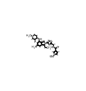 CN1CC[C@@H](Nc2cc(N)cc3c(CC(F)(F)F)n(-c4noc(CNC(=O)c5ccn(C(C)(C)C)c5)n4)nc23)[C@@H](F)C1